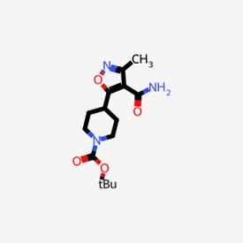 Cc1noc(C2CCN(C(=O)OC(C)(C)C)CC2)c1C(N)=O